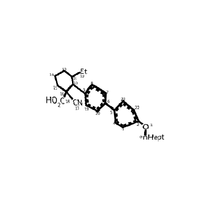 CCCCCCCOc1ccc(-c2ccc(C3C(CC)CCCC3(C#N)C(=O)O)cc2)cc1